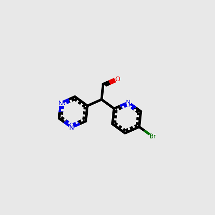 O=CC(c1cncnc1)c1ccc(Br)cn1